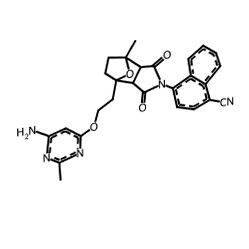 Cc1nc(N)cc(OCCC23CCC(C)(O2)C2C(=O)N(c4ccc(C#N)c5ccccc45)C(=O)C23)n1